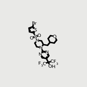 O=S(=O)(c1ccc(Br)s1)N1CCN(c2ncc(C(O)(C(F)(F)F)C(F)(F)F)cn2)C(CC2CCOCC2)C1